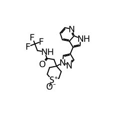 O=C(CC1(n2cc(-c3c[nH]c4ncccc34)cn2)CC[S+]([O-])CC1)NCC(F)(F)F